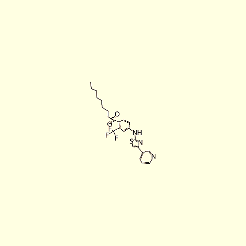 CCCCCCCCS(=O)(=O)c1ccc(Nc2nc(-c3cccnc3)cs2)cc1C(F)(F)F